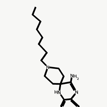 CCCCCCCCN1CCC2(CC1)Nc1ccccc1N=C2N